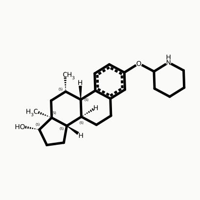 C[C@H]1C[C@]2(C)[C@@H](O)CC[C@H]2[C@@H]2CCc3cc(OC4CCCCN4)ccc3[C@H]21